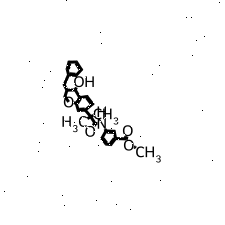 CCOC(=O)c1cccc(NC(=O)C(C)(C)c2ccc3c(c2)OCC(Cc2ccccc2)C3O)c1